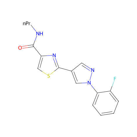 CCCNC(=O)c1csc(-c2cnn(-c3ccccc3F)c2)n1